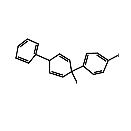 Ic1ccc(C2(I)C=CC(c3ccccc3)C=C2)cc1